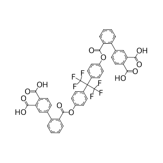 O=C(O)c1ccc(-c2ccccc2C(=O)Oc2ccc(C(c3ccc(OC(=O)c4ccccc4-c4ccc(C(=O)O)c(C(=O)O)c4)cc3)(C(F)(F)F)C(F)(F)F)cc2)cc1C(=O)O